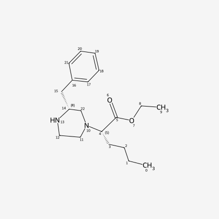 CCCC[C@@H](C(=O)OCC)N1CCN[C@H](Cc2ccccc2)C1